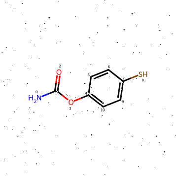 NC(=O)Oc1ccc(S)cc1